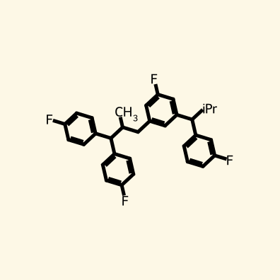 CC(C)C(c1cccc(F)c1)c1cc(F)cc(CC(C)C(c2ccc(F)cc2)c2ccc(F)cc2)c1